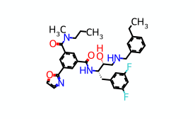 CCCN(C)C(=O)c1cc(C(=O)N[C@@H](Cc2cc(F)cc(F)c2)[C@H](O)CNCc2cccc(CC)c2)cc(-c2ncco2)c1